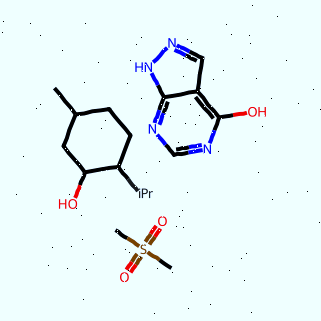 CC1CCC(C(C)C)C(O)C1.CS(C)(=O)=O.Oc1ncnc2[nH]ncc12